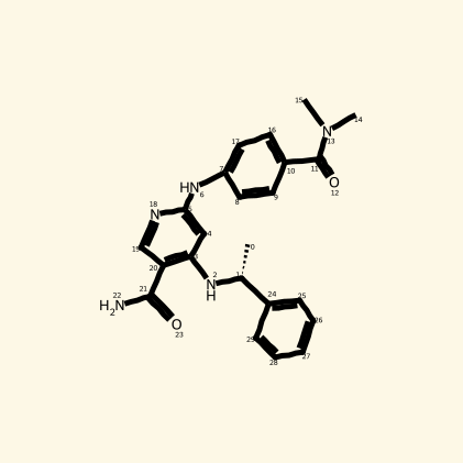 C[C@@H](Nc1cc(Nc2ccc(C(=O)N(C)C)cc2)ncc1C(N)=O)c1ccccc1